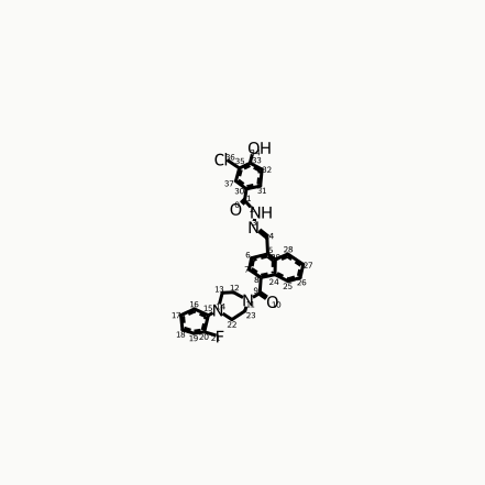 O=C(N/N=C/c1ccc(C(=O)N2CCN(c3ccccc3F)CC2)c2ccccc12)c1ccc(O)c(Cl)c1